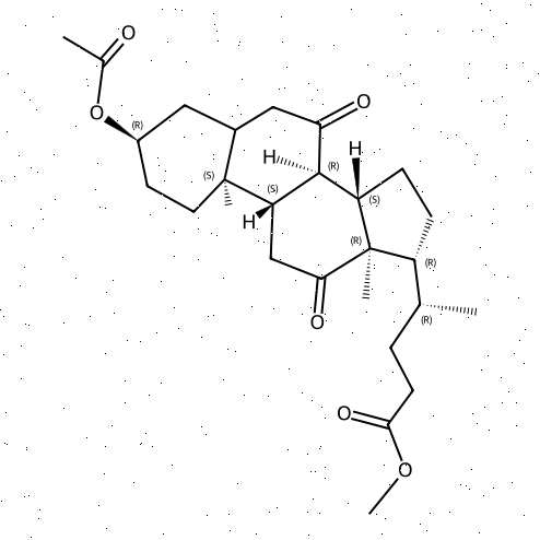 COC(=O)CC[C@@H](C)[C@H]1CC[C@H]2[C@@H]3C(=O)CC4C[C@H](OC(C)=O)CC[C@]4(C)[C@H]3CC(=O)[C@]12C